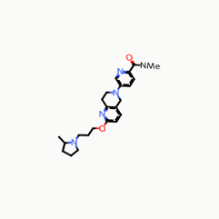 CNC(=O)c1ccc(N2CCc3nc(OCCCN4CCCC4C)ccc3C2)cn1